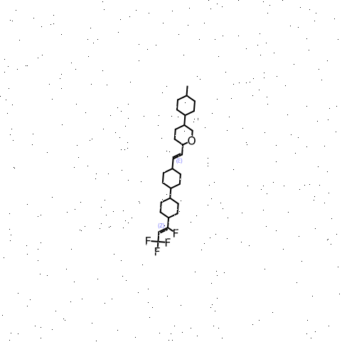 CC1CCC(C2CCC(/C=C/C3CCC(C4CCC(/C(F)=C/C(F)(F)F)CC4)CC3)OC2)CC1